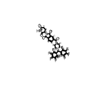 O=C1CCC(N2C(=O)c3ccc(C(=O)N4CCN(C(c5c(F)c(F)c(F)c(F)c5F)c5c(F)c(F)c(F)c(F)c5F)CC4)cc3C2=O)C(=O)N1